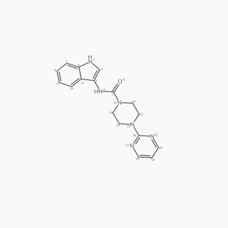 O=C(Nc1c[nH]c2ccccc12)N1CCN(c2ncccn2)CC1